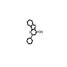 Oc1cc(-c2ccccc2)nc2c1sc1ccccc12